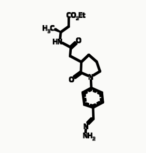 CCOC(=O)C[C@H](C)NC(=O)CC1CCCN(c2ccc(C=NN)cc2)C1=O